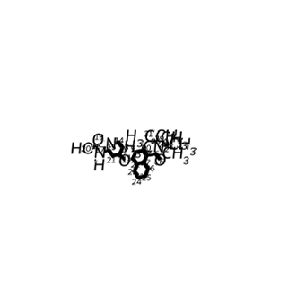 CC(C)(C)N(C(=O)c1ccc(Oc2ccnc(NC(=O)O)c2)c2ccccc12)C(C)(C)C